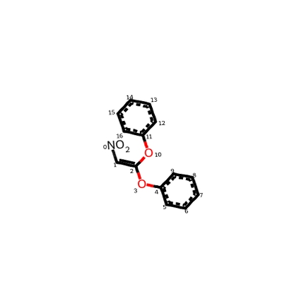 O=[N+]([O-])C=C(Oc1ccccc1)Oc1ccccc1